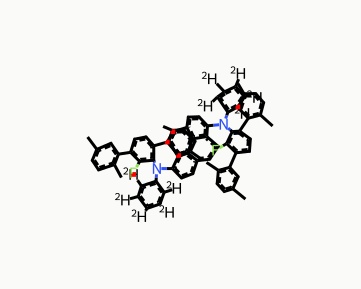 [2H]c1c([2H])c([2H])c(N(c2c(-c3cc(C)ccc3C)ccc(-c3cc(C)ccc3C)c2F)c2ccc3ccc4c(N(c5c([2H])c([2H])c([2H])c([2H])c5[2H])c5c(-c6cc(C)ccc6C)ccc(-c6cc(C)ccc6C)c5F)ccc5ccc2c3c54)c([2H])c1[2H]